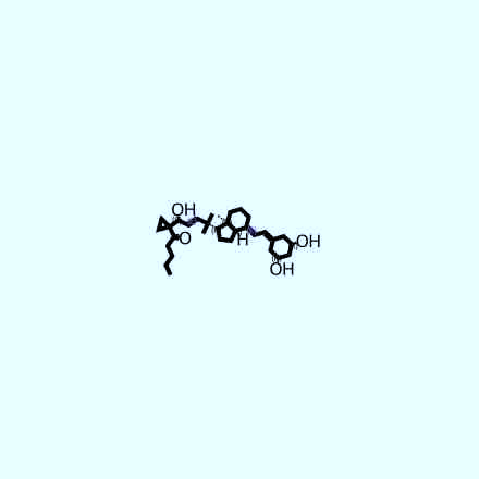 CCCCC(=O)C1([C@@H](O)/C=C/C(C)(C)[C@H]2CC[C@H]3/C(=C/C=C4C[C@@H](O)C[C@H](O)C4)CCC[C@]23C)CC1